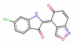 O=C1C=Cc2nocc2C1=C1Nc2cc(Cl)ccc2C1=O